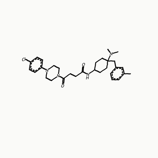 Cc1cccc(CC2(N(C)C)CCC(NC(=O)CCC(=O)N3CCN(c4ccc(Cl)cc4)CC3)CC2)c1